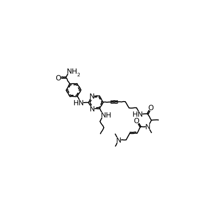 CCCNc1nc(Nc2ccc(C(N)=O)cc2)ncc1C#CCCCNC(=O)C(C)N(C)C(=O)C=CCN(C)C